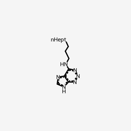 CCCCCCCCCCNc1nnnc2[nH]cnc12